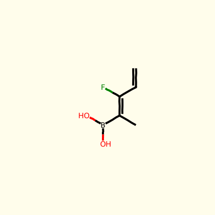 C=C/C(F)=C(\C)B(O)O